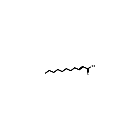 CCCCCCCCC=CC(=O)O